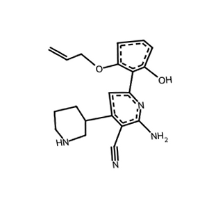 C=CCOc1cccc(O)c1-c1cc(C2CCCNC2)c(C#N)c(N)n1